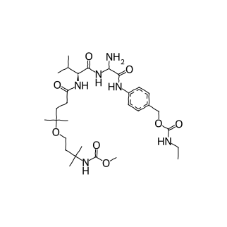 CCNC(=O)OCc1ccc(NC(=O)C(N)NC(=O)[C@@H](NC(=O)CCC(C)(C)OCCC(C)(C)NC(=O)OC)C(C)C)cc1